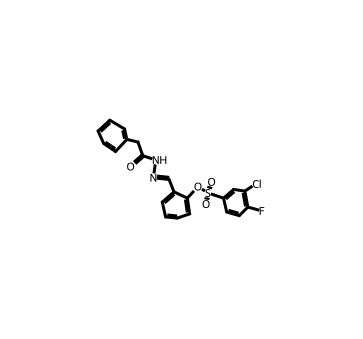 O=C(Cc1ccccc1)NN=Cc1ccccc1OS(=O)(=O)c1ccc(F)c(Cl)c1